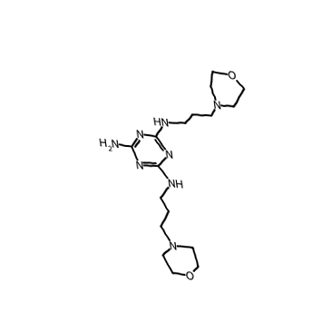 Nc1nc(NCCCN2CCOCC2)nc(NCCCN2CCOCC2)n1